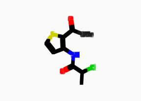 COC(=O)c1sccc1NC(=O)C(C)Cl